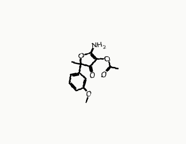 COc1cccc(C2(C)OC(N)=C(OC(C)=O)C2=O)c1